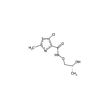 Cc1nc(C(=O)NOC[C@@H](C)O)c(Cl)s1